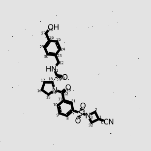 N#CC1CN(S(=O)(=O)c2cccc(C(=O)N3CCC[C@@H]3C(=O)NCc3ccc(CO)cc3)c2)C1